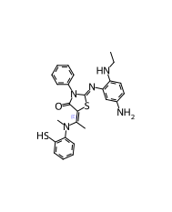 CCNc1ccc(N)cc1N=C1S/C(=C(\C)N(C)c2ccccc2S)C(=O)N1c1ccccc1